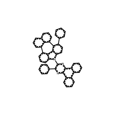 c1ccc(-c2ccc3c4c2-c2cccc5cccc(c25)-c2cccc(c24)n3-c2nc3c4ccccc4c4ccccc4c3nc2-c2ccccc2)cc1